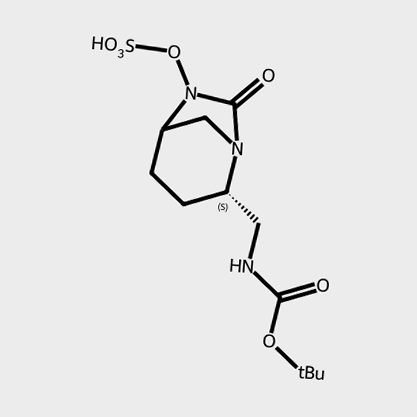 CC(C)(C)OC(=O)NC[C@@H]1CCC2CN1C(=O)N2OS(=O)(=O)O